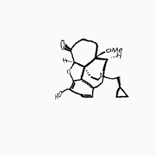 CO[C@]12CCC(=O)[C@@H]3Oc4c(O)ccc5c4[C@@]31CCN(CC1CC1)[C@@H]2C5